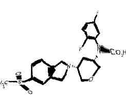 CS(=O)(=O)c1ccc2c(c1)CN([C@H]1COC[C@@H](N(C(=O)O)c3cc(F)ccc3F)C1)C2